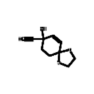 C#CC1(O)C=CC2(CC1)OCCO2